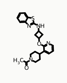 CC(=O)N1CCC(c2cccnc2OC2CC(Nc3nc4ccccc4s3)C2)CC1